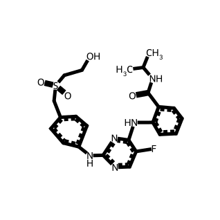 CC(C)NC(=O)c1ccccc1Nc1nc(Nc2ccc(CS(=O)(=O)CCO)cc2)ncc1F